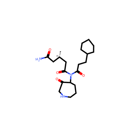 C[C@@H](CC(N)=O)CC(=O)N(C(=O)CCC1CCCCC1)C1CCCNCC1=O